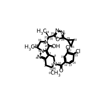 C[C@@H]1Cc2nn3c(c2CN1C(=O)c1ccc(Cl)c(Cl)c1)C(O)N([C@@H](C)c1nnc(C2CC2)o1)C[C@H]3C